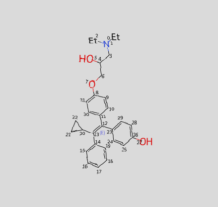 CCN(CC)CC(O)COc1ccc(/C(=C(/c2ccccc2)C2CC2)c2ccc(O)cc2)cc1